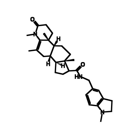 CC1=C2N(C)C(=O)CC[C@]2(C)[C@@H]2CC[C@]3(C)C(C(=O)NCc4ccc5c(c4)CCN5C)CC[C@H]3[C@@H]2C1